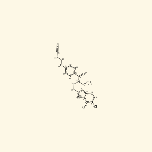 C[C@H]1c2c([nH]c3c(Cl)c(Cl)ccc23)CCN1C(=O)c1ncc(OCCC#N)cn1